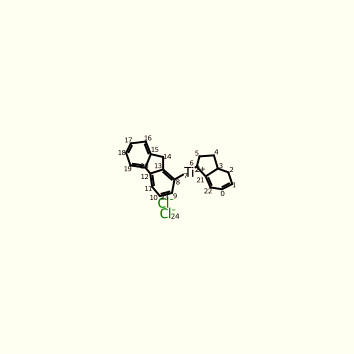 C1=CCC2CC[CH]([Ti+2][c]3cccc4c3Cc3ccccc3-4)C2=C1.[Cl-].[Cl-]